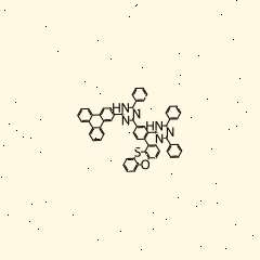 c1ccc(C2=NC(c3ccccc3)NC(c3cc(C4=NC(c5ccccc5)NC(c5ccc6c7ccccc7c7ccccc7c6c5)=N4)ccc3-c3cccc4c3Sc3ccccc3O4)=N2)cc1